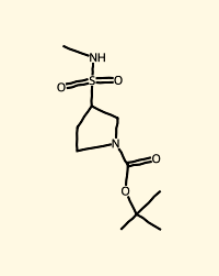 CNS(=O)(=O)C1CCN(C(=O)OC(C)(C)C)C1